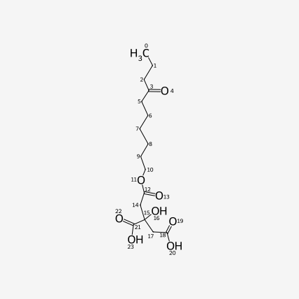 CCCC(=O)CCCCCCOC(=O)CC(O)(CC(=O)O)C(=O)O